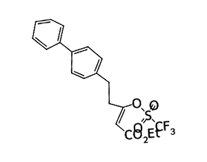 CCOC(=O)/C=C(/CCc1ccc(-c2ccccc2)cc1)OS(=O)(=O)C(F)(F)F